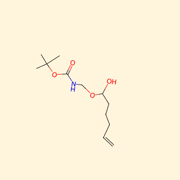 C=CCCCC(O)OCNC(=O)OC(C)(C)C